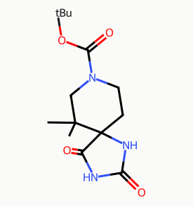 CC(C)(C)OC(=O)N1CCC2(NC(=O)NC2=O)C(C)(C)C1